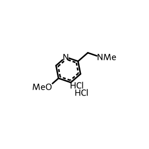 CNCc1ccc(OC)cn1.Cl.Cl